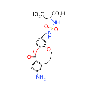 Nc1ccc2c(c1)CCCOc1cc(CNS(=O)(=O)NC(CC(=O)O)C(=O)O)ccc1OC2=O